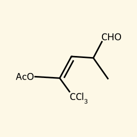 CC(=O)OC(=CC(C)C=O)C(Cl)(Cl)Cl